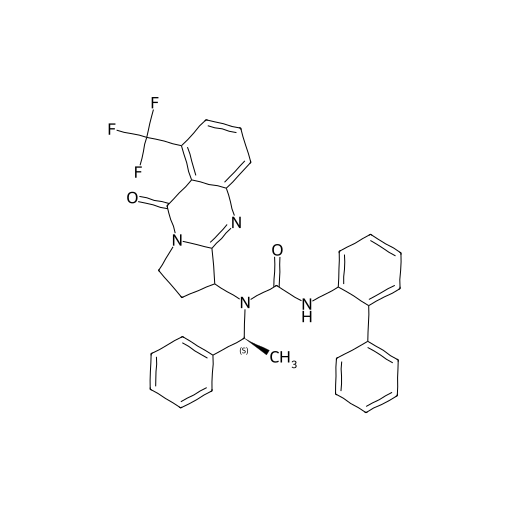 C[C@@H](c1ccccc1)N(C(=O)Nc1ccccc1-c1ccccc1)C1CCn2c1nc1cccc(C(F)(F)F)c1c2=O